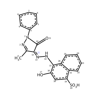 CC1=NN(c2ccccc2)C(=O)/C1=N\Nc1c(O)cc(S(=O)(=O)O)c2ccccc12